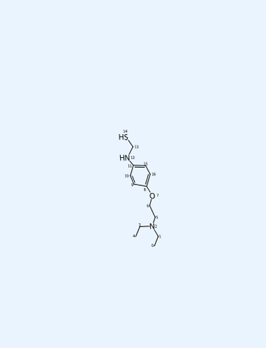 CCN(CC)CCOc1ccc(NCS)cc1